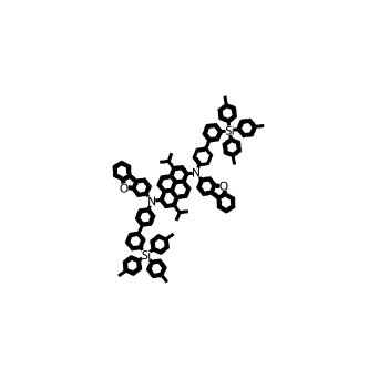 Cc1ccc([Si](c2ccc(C)cc2)(c2ccc(C)cc2)c2cccc(C3=CC=C(N(c4ccc5c(c4)oc4ccccc45)c4cc(C(C)C)c5ccc6c(N(c7ccc(-c8cccc([Si](c9ccc(C)cc9)(c9ccc(C)cc9)c9ccc(C)cc9)c8)cc7)c7ccc8c(c7)oc7ccccc78)cc(C(C)C)c7ccc4c5c76)CC3)c2)cc1